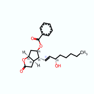 CCCCC[C@H](O)/C=C/[C@@H]1[C@H]2CC(=O)O[C@H]2C[C@H]1OC(=O)c1ccccc1